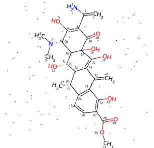 C=C(N)C1=C(O)[C@@H](N(C)C)C2[C@@H](O)C3C(=C(O)C2(O)C1=O)C(=C)c1c(ccc(C(=O)OC)c1O)[C@@H]3C